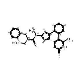 Cc1[nH]c(=O)ccc1-c1ccccc1-c1csc(N(C)C(=O)[C@@H](CC(=O)O)Cc2ccccc2)n1